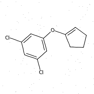 Clc1cc(Cl)cc(OC2=CCCC2)c1